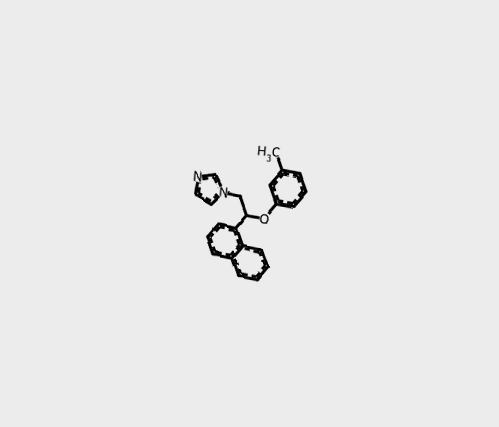 Cc1cccc(OC(Cn2ccnc2)c2cccc3ccccc23)c1